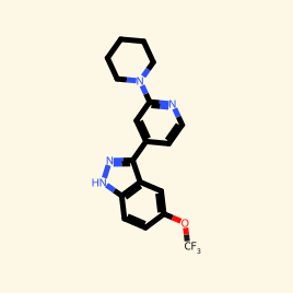 FC(F)(F)Oc1ccc2[nH]nc(-c3ccnc(N4CCCCC4)c3)c2c1